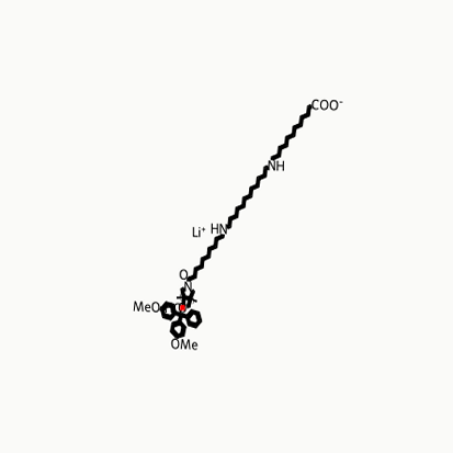 COc1ccc(C(OC[C@@]2(C)CN(C(=O)CCCCCCCCCNCCCCCCCCCCCCNCCCCCCCCCCCC(=O)[O-])C[C@@]2(C)CO)(c2ccccc2)c2ccc(OC)cc2)cc1.[Li+]